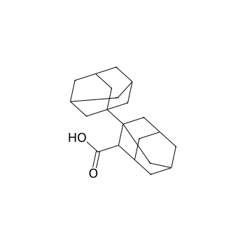 O=C(O)C1C2CC3CC(C2)CC1(C12CC4CC(CC(C4)C1)C2)C3